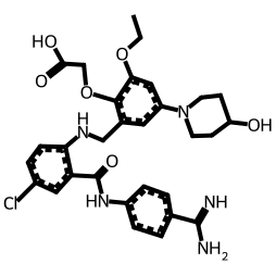 CCOc1cc(N2CCC(O)CC2)cc(CNc2ccc(Cl)cc2C(=O)Nc2ccc(C(=N)N)cc2)c1OCC(=O)O